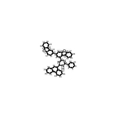 c1ccc(C2=NC(c3cc(-c4ccc5oc6ccccc6c5c4)cc4oc5ccccc5c34)=NC(c3cc4ccccc4c4ccccc34)N2)cc1